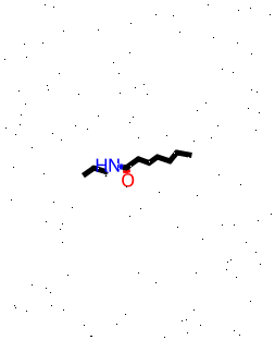 CC[CH]NC(=O)CCCCCC